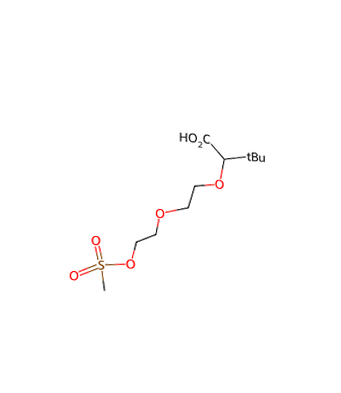 CC(C)(C)C(OCCOCCOS(C)(=O)=O)C(=O)O